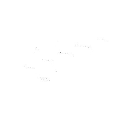 COC(=O)NNC(=O)c1cc(Cl)cc(C)c1N